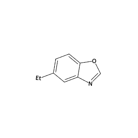 CCc1ccc2ocnc2c1